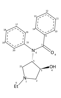 CCN1C[C@H](O)[C@@H](N(C(=O)c2ccccc2)c2ccccc2)C1